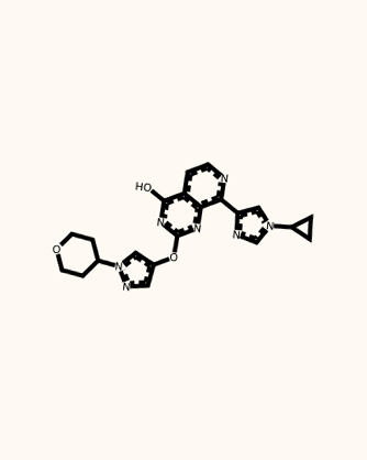 Oc1nc(Oc2cnn(C3CCOCC3)c2)nc2c(-c3cn(C4CC4)cn3)nccc12